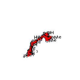 COC(=O)[C@H](CCC(=O)NCCCCCCC(=O)NCCSSCCCC(=O)N1C[C@H](O)C[C@H]1COC(c1ccccc1)(c1ccc(OC)cc1)c1ccc(OC)cc1)NC(=O)c1ccc(N(Cc2cnc3nc(NC(=O)C(C)C)[nH]c(=O)c3n2)C(=O)C(F)(F)F)cc1